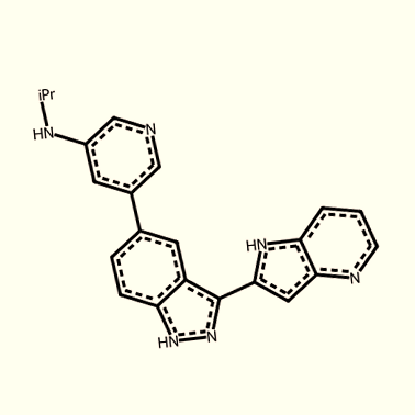 CC(C)Nc1cncc(-c2ccc3[nH]nc(-c4cc5ncccc5[nH]4)c3c2)c1